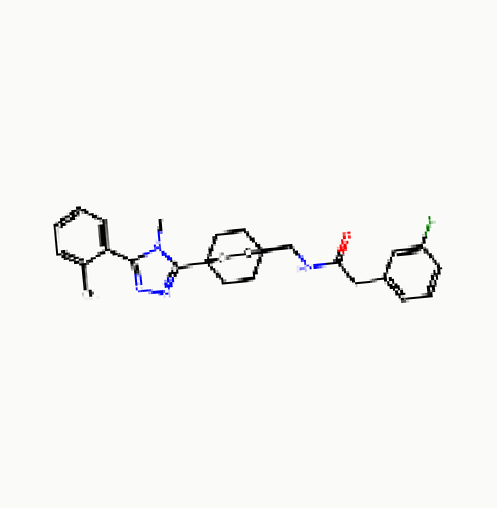 Cn1c(-c2ccccc2C(F)(F)F)nnc1C12CCC(CNC(=O)Cc3cccc(Cl)c3)(CC1)CC2